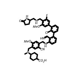 COc1cc(CNc2cccc(-c3cccc(-c4cc(F)c(CNCC5CCC(=O)N5)c(OC)c4)c3Cl)c2C=N)c(C#N)cc1CN(C)C1CCC(C(=O)O)CC1